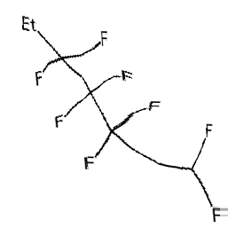 [CH2]CC(F)(F)C(F)(F)C(F)(F)CC(F)F